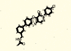 CC(=O)NCc1cccc(-c2ccc(Oc3c(N)cnn(-c4ccc(Cl)cc4)c3=O)cc2)c1